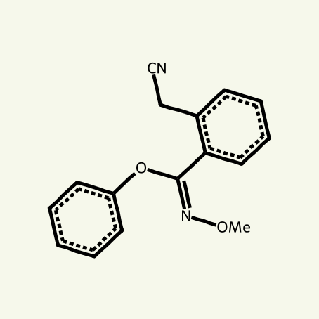 CON=C(Oc1ccccc1)c1ccccc1CC#N